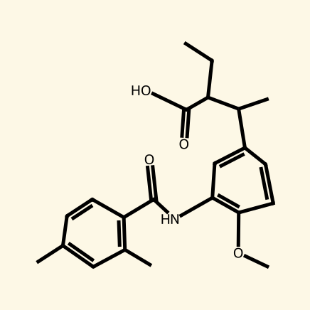 CCC(C(=O)O)C(C)c1ccc(OC)c(NC(=O)c2ccc(C)cc2C)c1